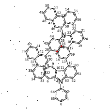 c1ccc(-n2c3ccccc3c3c(-c4cccc(-c5ccccc5N(c5ccc(-c6cc7ccccc7c7ccccc67)cc5)c5cc6ccccc6c6ccccc56)c4)cccc32)cc1